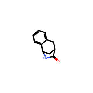 O=C1NC2CC1Cc1ccccc12